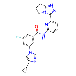 O=C(Nc1cccc(-c2nnc3n2CCC3)n1)c1cc(F)cc(-n2cnc(C3CC3)c2)c1